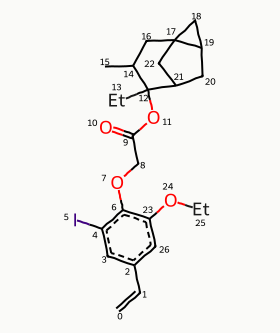 C=Cc1cc(I)c(OCC(=O)OC2(CC)C(C)CC34CC3CC2C4)c(OCC)c1